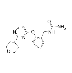 NC(=O)NCc1ccccc1Oc1ccnc(N2CCOCC2)n1